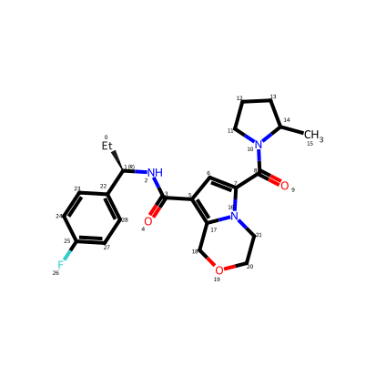 CC[C@@H](NC(=O)c1cc(C(=O)N2CCCC2C)n2c1COCC2)c1ccc(F)cc1